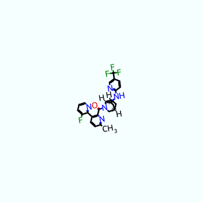 Cc1ccc(-c2ncccc2F)c(C(=O)N2C[C@@H]3CC[C@H]2[C@H](Nc2ccc(C(F)(F)F)cn2)C3)n1